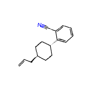 C=CC[C@H]1CC[C@H](c2ccccc2C#N)CC1